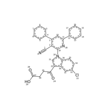 N#Cc1c(-c2ccccc2)cc(-c2ccccc2)nc1-n1cc(C(=O)CCC(=O)O)c2cc(Cl)ccc21